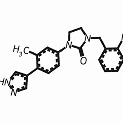 Cc1cc(N2CCN(Cc3ccccc3F)C2=O)ccc1-c1cn[nH]c1